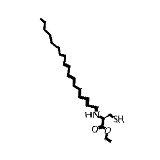 CCCCCCCCCCCCCCCCCCN[C@@H](CS)C(=O)OCC